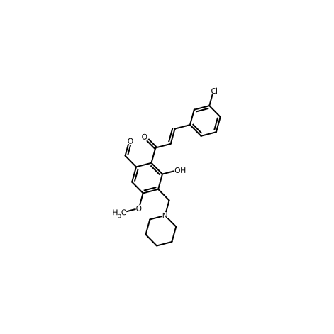 COc1cc(C=O)c(C(=O)/C=C/c2cccc(Cl)c2)c(O)c1CN1CCCCC1